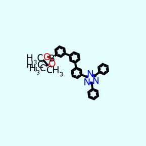 CC1(C)OB(c2cccc(-c3cccc(-c4cccc(-c5nc(-c6ccccc6)nc(-c6ccccc6)n5)c4)c3)c2)OC1(C)C